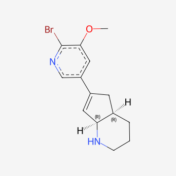 COc1cc(C2=C[C@@H]3NCCC[C@@H]3C2)cnc1Br